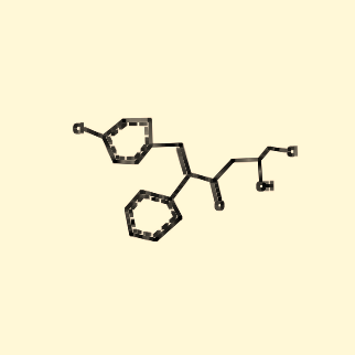 O=C(CC(O)CCl)/C(=C/c1ccc(Cl)cc1)c1ccccc1